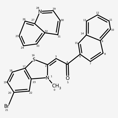 CN1C(=CC(=O)c2ccc3ccccc3c2)Sc2ccc(Br)cc21.c1ccc2ncccc2c1